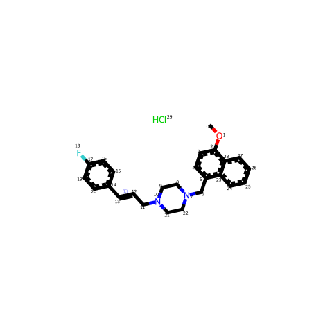 COc1ccc(CN2CCN(C/C=C/c3ccc(F)cc3)CC2)c2ccccc12.Cl